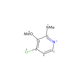 CNc1nccc(Cl)c1OC